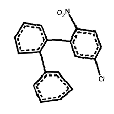 O=[N+]([O-])c1ccc(Cl)cc1-c1ccccc1-c1ccccc1